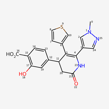 Cn1cc(C2=C(c3ccsc3)C(c3ccc(C(=O)O)c(O)c3)CC(=O)N2)cn1